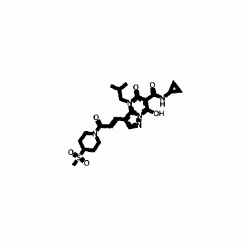 CC(C)Cn1c(=O)c(C(=O)NC2CC2)c(O)n2ncc(C=CC(=O)N3CCC(S(C)(=O)=O)CC3)c12